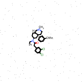 COc1cccc([C@@]23CCN(C)C[C@H]2CC[C@H](N(CC(C)C)C(=O)Cc2ccc(Cl)c(Cl)c2)C3)c1